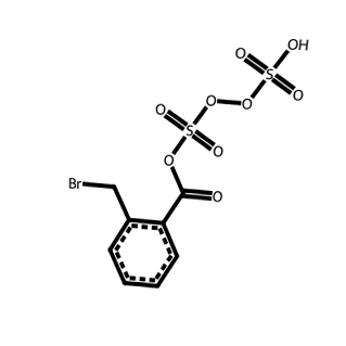 O=C(OS(=O)(=O)OOS(=O)(=O)O)c1ccccc1CBr